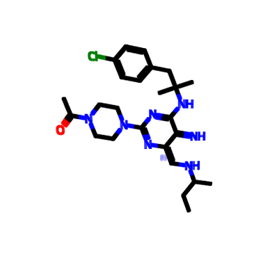 CCC(C)N/C=C1/N=C(N2CCN(C(C)=O)CC2)N=C(NC(C)(C)Cc2ccc(Cl)cc2)C1=N